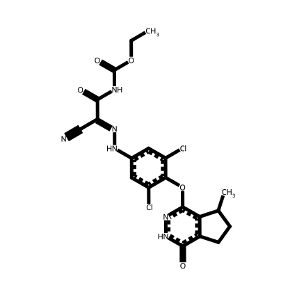 CCOC(=O)NC(=O)/C(C#N)=N/Nc1cc(Cl)c(Oc2n[nH]c(=O)c3c2C(C)CC3)c(Cl)c1